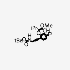 C=C(OC)[C@H](Oc1cc(F)ccc1C#CCNC(=O)OC(C)(C)C)C(C)C